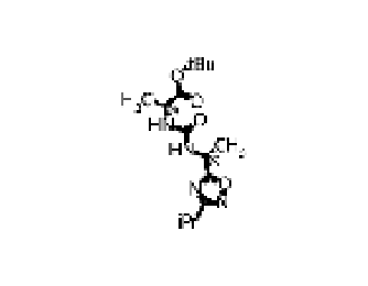 CC(C)c1noc([C@H](C)NC(=O)N[C@@H](C)C(=O)OC(C)(C)C)n1